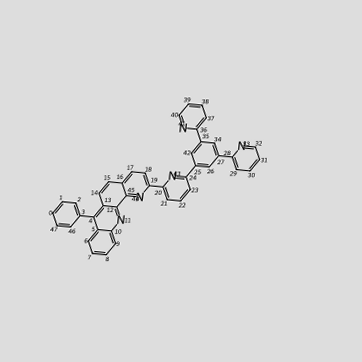 c1ccc(-c2c3ccccc3nc3c2ccc2ccc(-c4cccc(-c5cc(-c6ccccn6)cc(-c6ccccn6)c5)n4)nc23)cc1